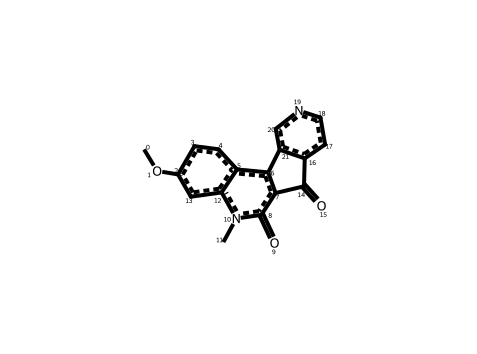 COc1ccc2c3c(c(=O)n(C)c2c1)C(=O)c1ccncc1-3